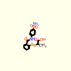 CC(SSc1ccccc1C(=O)Nc1ccc(S(N)(=O)=O)cc1)C(=O)O